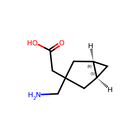 NCC1(CC(=O)O)C[C@H]2C[C@H]2C1